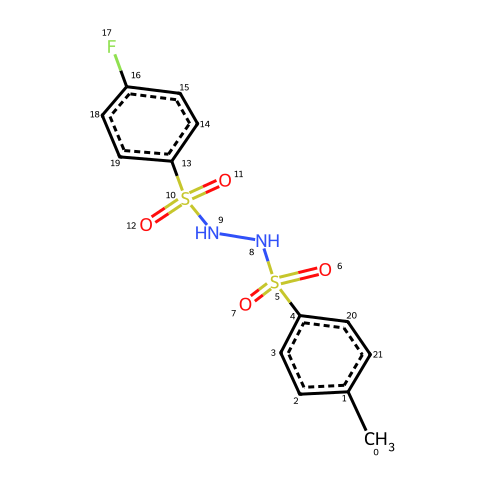 Cc1ccc(S(=O)(=O)NNS(=O)(=O)c2ccc(F)cc2)cc1